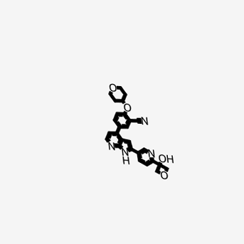 N#Cc1cc(-c2ccnc3[nH]c(-c4ccc(C5(O)COC5)nc4)cc23)ccc1OC1CCOCC1